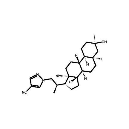 CCC[C@]12CC[C@H]3[C@@H](CC[C@@H]4C[C@](C)(O)CC[C@@H]43)[C@@H]1CC[C@@H]2[C@@H](C)Cn1cc(C#N)cn1